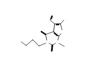 CCCCn1c(=O)c2c(C=O)c(Br)sc2n(C)c1=O